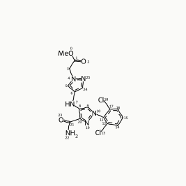 COC(=O)Cn1cc(Nc2cn(-c3c(Cl)cccc3Cl)nc2C(N)=O)cn1